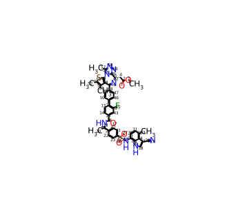 COC(=O)C[C@@H]1N=C(c2ccc(-c3ccc(C(=O)N[C@H](C)c4ccc(S(=O)(=O)Nc5ccc(C)c6c(C#N)c[nH]c56)cc4)cc3F)cc2)c2c(sc(C)c2C)-n2c(C)nnc21